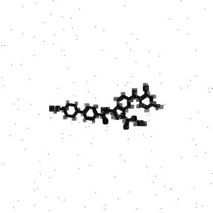 CN1CCC(c2ccc(C(=O)Nc3nn(C(=O)OC(C)(C)C)c4cc(Nc5ccc(F)cc5Cl)ccc34)cc2)CC1